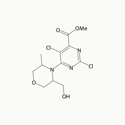 COC(=O)c1nc(Cl)nc(N2C(C)COCC2CO)c1Cl